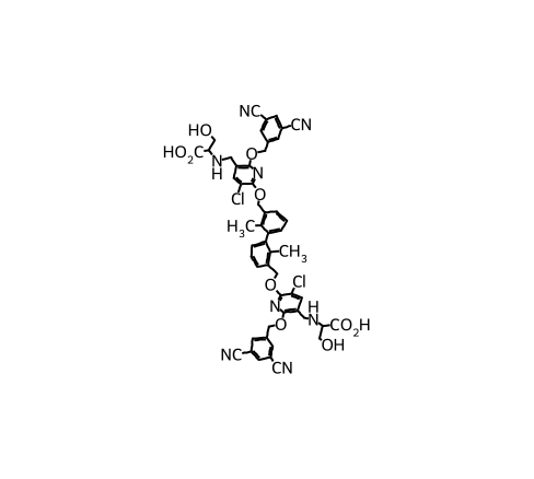 Cc1c(COc2nc(OCc3cc(C#N)cc(C#N)c3)c(CNC(CO)C(=O)O)cc2Cl)cccc1-c1cccc(COc2nc(OCc3cc(C#N)cc(C#N)c3)c(CNC(CO)C(=O)O)cc2Cl)c1C